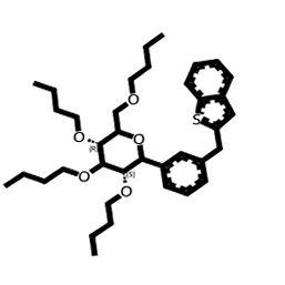 CCCCOCC1OC(c2cccc(Cc3cc4ccccc4s3)c2)[C@H](OCCCC)C(OCCCC)[C@@H]1OCCCC